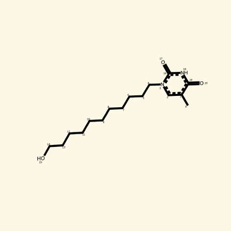 Cc1cn(CCCCCCCCCCCO)c(=O)[nH]c1=O